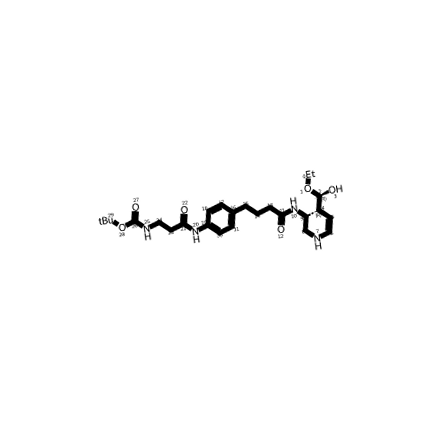 CCO[C@@H](O)[C@@H]1C=CNCC1NC(=O)CCCc1ccc(NC(=O)CCNC(=O)OC(C)(C)C)cc1